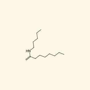 C=C(CCCCCCC)NCCCCC